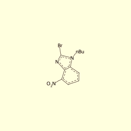 CCCCn1c(Br)nc2c([N+](=O)[O-])cccc21